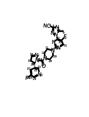 Cc1nc(C#N)nn1-c1nc(N2CCN(C(=O)N3N=CC[C@H]3c3cncc(F)c3)CC2)ncc1F